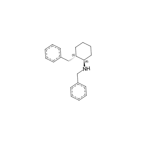 c1ccc(CN[C@@H]2CCCC[C@H]2Cc2ccccc2)cc1